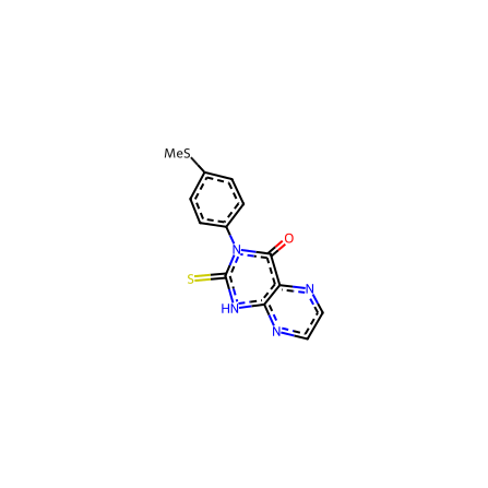 CSc1ccc(-n2c(=S)[nH]c3nccnc3c2=O)cc1